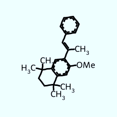 COc1cc2c(cc1/C(C)=C/c1ccccc1)C(C)(C)CCC2(C)C